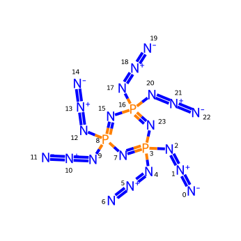 [N-]=[N+]=NP1(N=[N+]=[N-])=NP(N=[N+]=[N-])(N=[N+]=[N-])=NP(N=[N+]=[N-])(N=[N+]=[N-])=N1